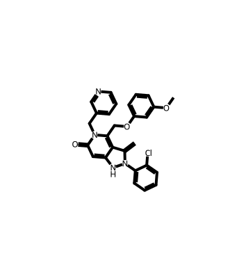 C=C1c2c(cc(=O)n(Cc3cccnc3)c2COc2cccc(OC)c2)NN1c1ccccc1Cl